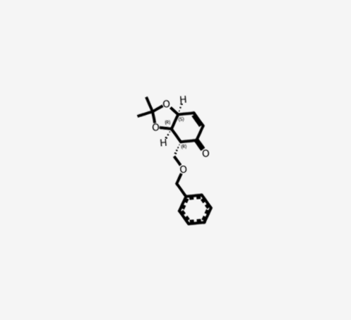 CC1(C)O[C@H]2[C@H](C=CC(=O)[C@@H]2COCc2ccccc2)O1